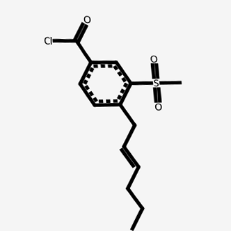 CCC/C=C/Cc1ccc(C(=O)Cl)cc1S(C)(=O)=O